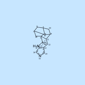 NC(=O)C12CC3CC(CC(C3)C1Cc1cncs1)C2